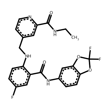 CCNC(=O)c1cc(CNc2ccc(F)cc2C(=O)Nc2ccc3c(c2)OC(F)(F)O3)ccn1